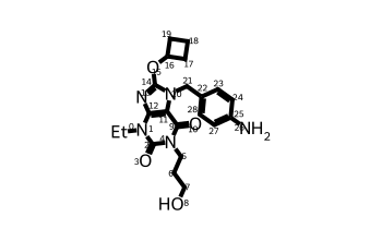 CCn1c(=O)n(CCCO)c(=O)c2c1nc(OC1CCC1)n2Cc1ccc(N)cc1